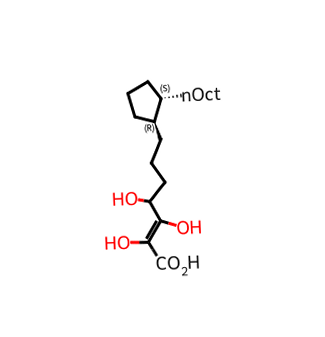 CCCCCCCC[C@H]1CCC[C@@H]1CCCC(O)C(O)=C(O)C(=O)O